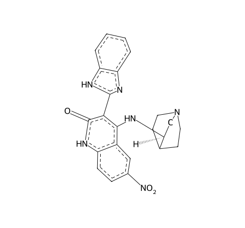 O=c1[nH]c2ccc([N+](=O)[O-])cc2c(N[C@H]2CN3CCC2CC3)c1-c1nc2ccccc2[nH]1